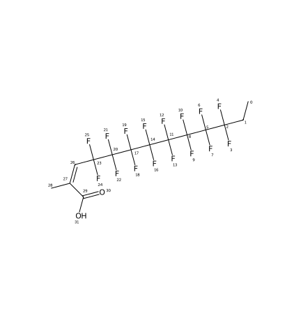 CCC(F)(F)C(F)(F)C(F)(F)C(F)(F)C(F)(F)C(F)(F)C(F)(F)C(F)(F)C=C(C)C(=O)O